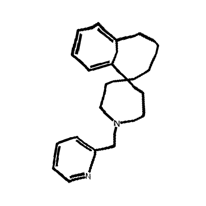 c1ccc(CN2CCC3(CCCc4ccccc43)CC2)nc1